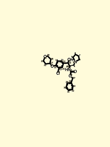 O=C(N[C@H](CN1CCCC1)C(O)c1ccc(OC2CCOCC2)c(Cl)c1)OCc1ccccc1